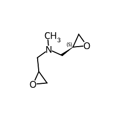 CN(CC1CO1)C[C@H]1CO1